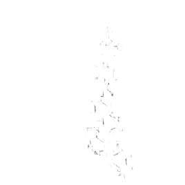 CS(=O)(=O)CCN1CCN(C(=O)Oc2ccc3c(Nc4cnnc(-c5cc(Cl)ccc5F)c4)ccnc3c2)CC1